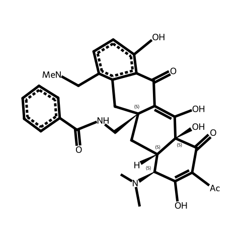 CNCc1ccc(O)c2c1C[C@@]1(CNC(=O)c3ccccc3)C[C@H]3[C@H](N(C)C)C(O)=C(C(C)=O)C(=O)[C@@]3(O)C(O)=C1C2=O